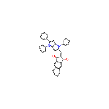 O=C1C(=Cc2cc3c(cc(-c4ccccc4)n3-c3ccccc3)n2-c2ccccc2)C(=O)c2cc3ccccc3cc21